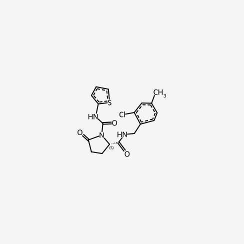 Cc1ccc(CNC(=O)[C@@H]2CCC(=O)N2C(=O)Nc2cccs2)c(Cl)c1